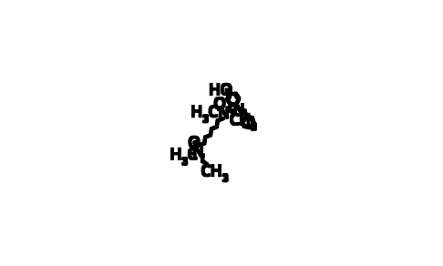 CCCCN(C)C(=O)CCCCCCCN(C(C)=O)c1c(C)n(Cc2ccccc2)c2ccc(O)cc12